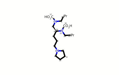 CC(C)CN(C[C@H](CCCN1CCCC1)N(CC(C)C)C(=O)O)C(=O)O